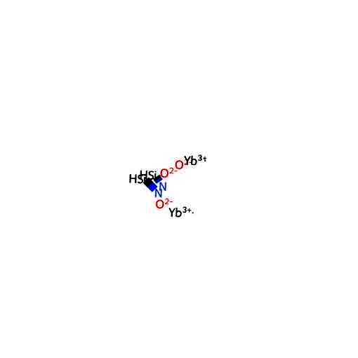 N#[SiH].N#[SiH].[O-2].[O-2].[O-2].[Yb+3].[Yb+3]